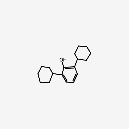 Oc1c(C2CCCCC2)cccc1C1CCCCC1